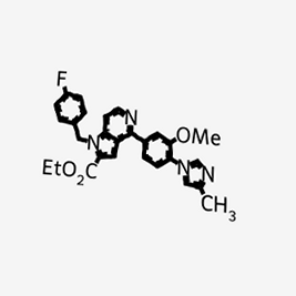 CCOC(=O)c1cc2c(-c3ccc(-n4cnc(C)c4)c(OC)c3)nccc2n1Cc1ccc(F)cc1